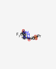 CC(C)CS(=O)(=O)c1ccc(/C=C/C(=O)NCC[C@H]2CC[C@@H](C)N2c2ccc3[nH]c(=O)cc(C(F)(F)F)c3c2)cc1